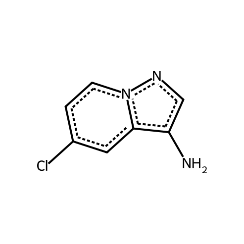 Nc1cnn2ccc(Cl)cc12